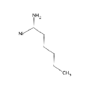 CCCCC[CH](N)[Ni]